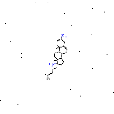 CC(C)CCCCC1(N)CCC2C3CC=C4CC(N)CCC4(C)C3CCC21C